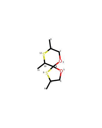 CC1COC2(OCC(C)S2)C(C)S1